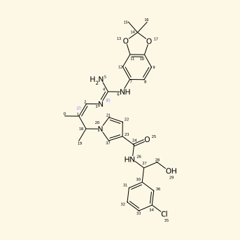 C/C(=C/N=C(\N)Nc1ccc2c(c1)OC(C)(C)O2)C(C)n1ccc(C(=O)NC(CO)c2cccc(Cl)c2)c1